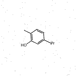 Cc1c[c]c(C(C)C)cc1O